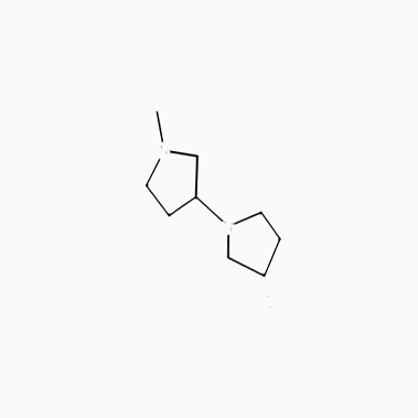 C[C@H]1CCN(C2CCN(C)C2)C1